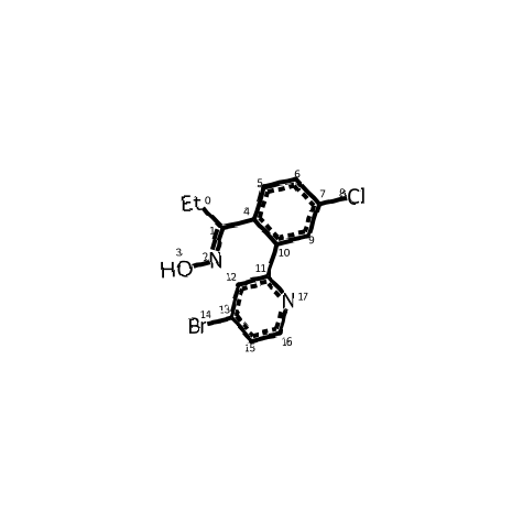 CCC(=NO)c1ccc(Cl)cc1-c1cc(Br)ccn1